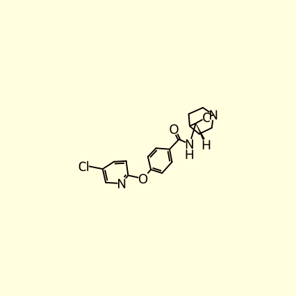 O=C(N[C@H]1CN2CCC1CC2)c1ccc(Oc2ccc(Cl)cn2)cc1